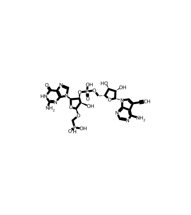 C#Cc1cn([C@@H]2O[C@H](COP(=O)(O)O[C@H]3[C@@H](O)[C@@H](OC[PH](=O)O)O[C@H]3n3cnc4c(=O)[nH]c(N)nc43)[C@H](O)[C@@H]2O)c2ncnc(N)c12